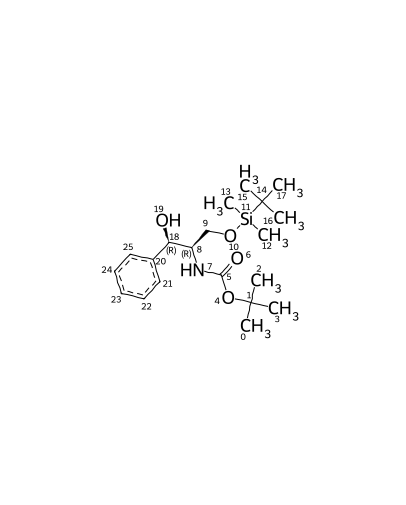 CC(C)(C)OC(=O)N[C@H](CO[Si](C)(C)C(C)(C)C)[C@H](O)c1ccccc1